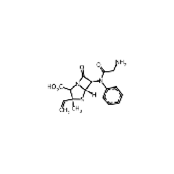 C=C[C@@]1(C)S[C@H]2[C@H](N(C(=O)CN)c3ccccc3)C(=O)N2C1C(=O)O